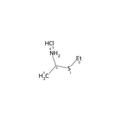 CCSC(C)N.Cl